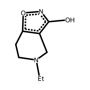 CCN1CCc2onc(O)c2C1